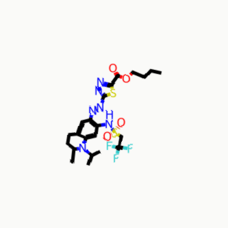 CCCCOC(=O)c1nnc(N=Nc2cc3c(cc2NS(=O)(=O)CC(F)(F)F)N(C(C)C)C(C)CC3)s1